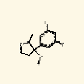 COC1(c2cc(F)cc(F)c2)CCOC1C